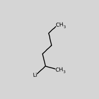 [Li][CH](C)CCCC